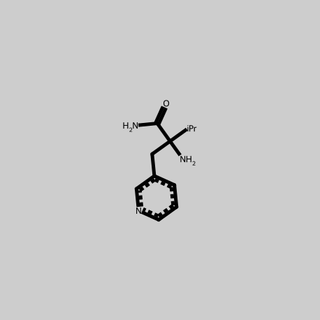 CC(C)C(N)(Cc1cccnc1)C(N)=O